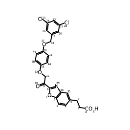 O=C(O)CCc1ccc2oc(C(=O)COc3ccc(OCc4cc(Cl)cc(Cl)c4)cc3)nc2c1